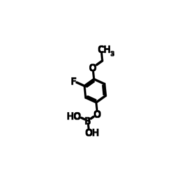 CCOc1ccc(OB(O)O)cc1F